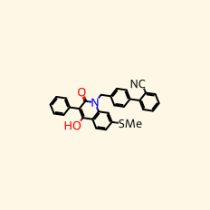 CSc1ccc2c(O)c(-c3ccccc3)c(=O)n(Cc3ccc(-c4ccccc4C#N)cc3)c2c1